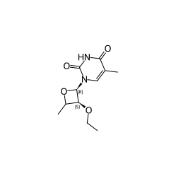 CCO[C@H]1C(C)O[C@H]1n1cc(C)c(=O)[nH]c1=O